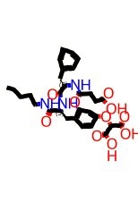 CCCCCNC(=O)[C@H](Cc1ccc(OC(C(=O)O)C(=O)O)cc1)NC(=O)[C@H](Cc1ccccc1)NC(=O)CCC(=O)O